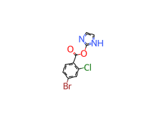 O=C(Oc1ncc[nH]1)c1ccc(Br)cc1Cl